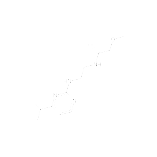 COCC(=O)NCCNc1nccc(C(C)C)n1